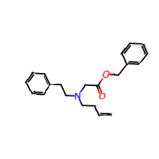 C=CCCN(CCc1ccccc1)CC(=O)OCc1ccccc1